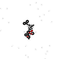 CC[C@H](C)[C@H](NC(=O)OCC1c2ccccc2-c2ccccc21)C(=O)N(C)[C@H](C(=O)N(C)[C@@H](CC(=O)OC(c1ccccc1)(c1ccc(C)cc1)c1ccccc1Cl)C(=O)N1CCCCC1)C(C)C